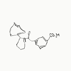 O=C(O)c1cccc(C(=O)N2CCCC2c2ccncc2)c1